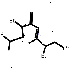 C=C(/C=C(\C)C(CC)CC(C)C)C(CC)CC(C)F